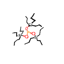 CCC[Si](CCC)(CCC)OP(O[Si](CCC)(CCC)CCC)O[Si](CCC)(CCC)CCC